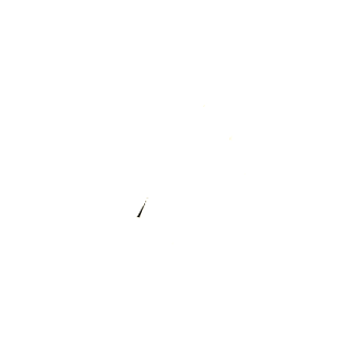 COC1O[C@H](C(C)OC(=O)c2ccccc2)[C@@H](OC(=O)c2ccccc2)[C@]1(O)C(=O)c1ccccc1